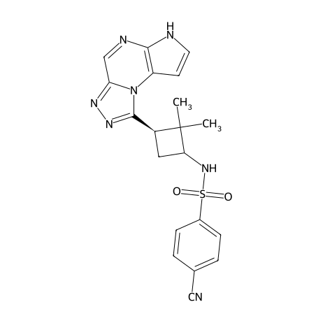 CC1(C)C(NS(=O)(=O)c2ccc(C#N)cc2)C[C@H]1c1nnc2cnc3[nH]ccc3n12